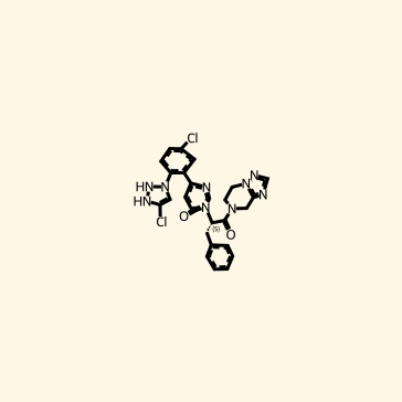 O=C([C@H](Cc1ccccc1)n1cnc(-c2cc(Cl)ccc2N2C=C(Cl)NN2)cc1=O)N1CCn2ncnc2C1